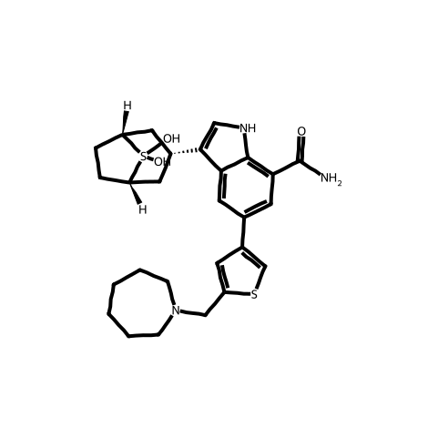 NC(=O)c1cc(-c2csc(CN3CCCCCC3)c2)cc2c([C@H]3C[C@H]4CC[C@@H](C3)S4(O)O)c[nH]c12